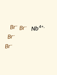 [Br-].[Br-].[Br-].[Br-].[Nb+4]